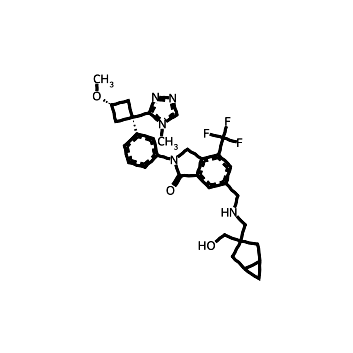 CO[C@H]1C[C@](c2cccc(N3Cc4c(cc(CNCC5(CO)CC6CC6C5)cc4C(F)(F)F)C3=O)c2)(c2nncn2C)C1